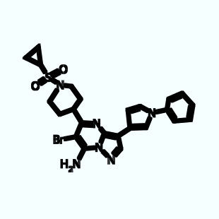 Nc1c(Br)c(C2CCN(S(=O)(=O)C3CC3)CC2)nc2c(-c3ccn(-c4ccccc4)c3)cnn12